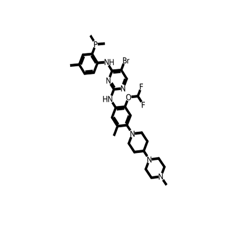 Cc1ccc(Nc2nc(Nc3cc(C)c(N4CCC(N5CCN(C)CC5)CC4)cc3OC(F)F)ncc2Br)c(P(C)C)c1